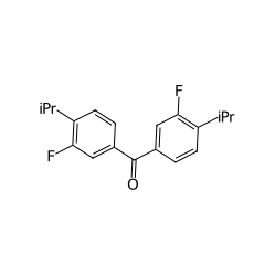 CC(C)c1ccc(C(=O)c2ccc(C(C)C)c(F)c2)cc1F